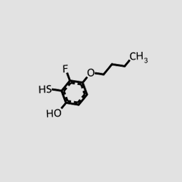 CCCCOc1ccc(O)c(S)c1F